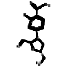 NC[C@H]1CN(c2ccc(C(N)=O)c(F)c2)C(C=O)O1